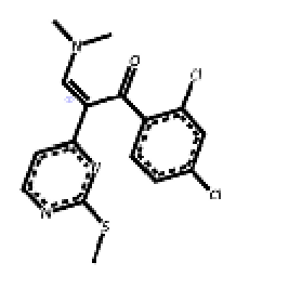 CSc1nccc(/C(=C/N(C)C)C(=O)c2ccc(Cl)cc2Cl)n1